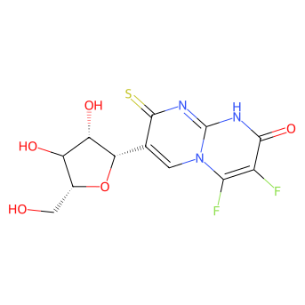 O=c1[nH]c2nc(=S)c([C@@H]3O[C@H](CO)C(O)[C@@H]3O)cn2c(F)c1F